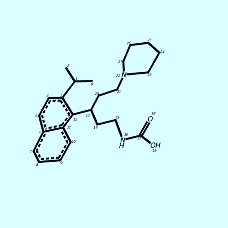 CC(C)c1ccc2ccccc2c1C(CCNC(=O)O)CCN1CCCCC1